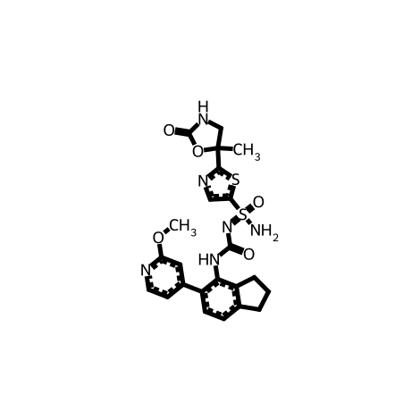 COc1cc(-c2ccc3c(c2NC(=O)N=S(N)(=O)c2cnc(C4(C)CNC(=O)O4)s2)CCC3)ccn1